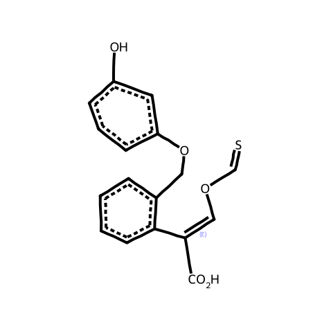 O=C(O)/C(=C/OC=S)c1ccccc1COc1cccc(O)c1